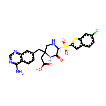 Nc1ncnc2cc(CC3(CC(=O)O)CN[C@@H](S(=O)(=O)c4cc5ccc(Cl)cc5s4)C(=O)N3)ccc12